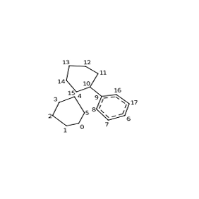 C1CCCCC1.c1ccc(C2CCCCC2)cc1